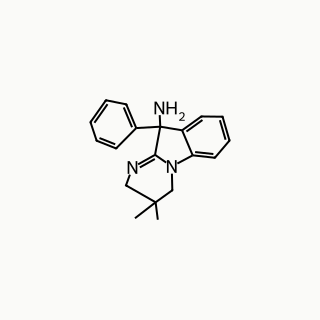 CC1(C)CN=C2N(C1)c1ccccc1C2(N)c1ccccc1